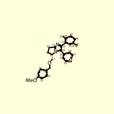 COc1ccc(COC[C@@H]2CCc3nc(-c4cc(F)ccc4C)c(-c4ccncc4)n32)cc1